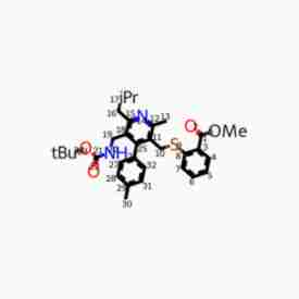 COC(=O)c1ccccc1SCc1c(C)nc(CC(C)C)c(CNC(=O)OC(C)(C)C)c1-c1ccc(C)cc1